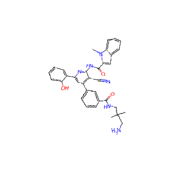 Cn1c(C(=O)Nc2nc(-c3ccccc3O)cc(-c3cccc(C(=O)NCC(C)(C)CN)c3)c2C#N)cc2ccccc21